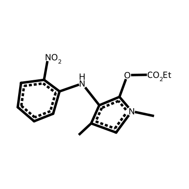 CCOC(=O)Oc1c(Nc2ccccc2[N+](=O)[O-])c(C)cn1C